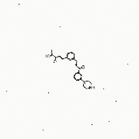 O=C(/C=C/c1cccc(/C=C/C(=O)c2cccc(N3CCNCC3)c2)c1)NO